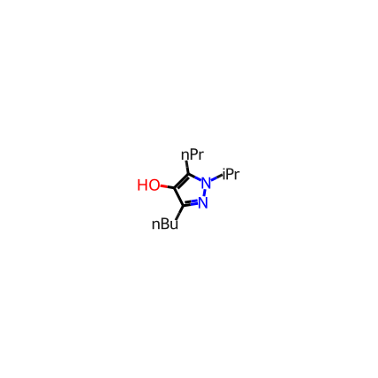 CCCCc1nn(C(C)C)c(CCC)c1O